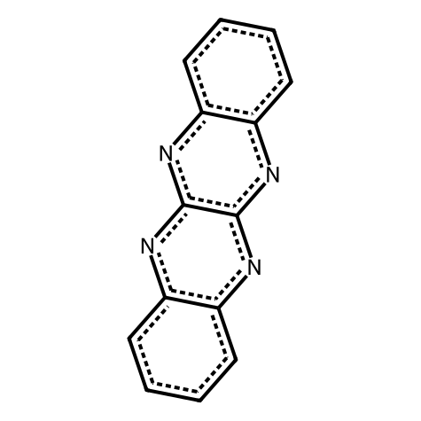 c1ccc2nc3nc4ccccc4nc3nc2c1